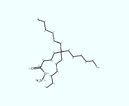 CCCCCCC(CCCCCC)(CCCCCC)CCCC(=O)O[SiH3]